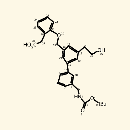 CC(C)(C)OC(=O)NCc1cccc(-c2cc(CCO)cc(COc3ccccc3CC(=O)O)c2)c1